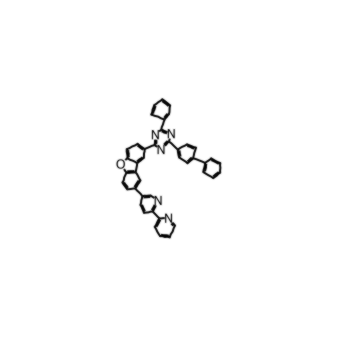 c1ccc(-c2ccc(-c3nc(-c4ccccc4)nc(-c4ccc5oc6ccc(-c7ccc(-c8ccccn8)nc7)cc6c5c4)n3)cc2)cc1